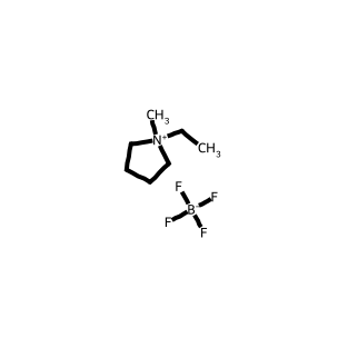 CC[N+]1(C)CCCC1.F[B-](F)(F)F